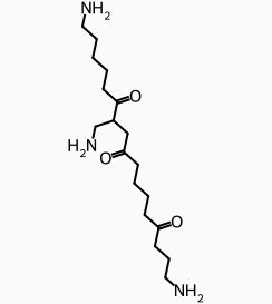 NCCCCCC(=O)C(CN)CC(=O)CCCCC(=O)CCCN